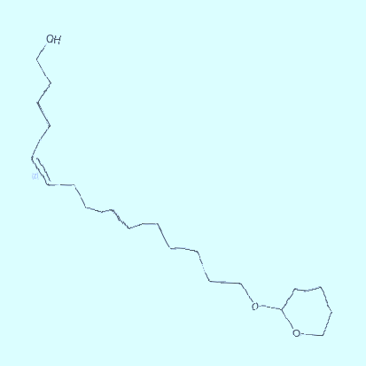 OCCCC/C=C\CCCCCCCCCOC1CCCCO1